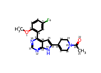 COc1ccc(F)cc1-c1ncnc2[nH]c(C3=CCN(C(C)=O)CC3)cc12